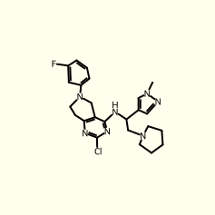 Cn1cc(C(CN2CCCCC2)Nc2nc(Cl)nc3c2CN(c2cccc(F)c2)CC3)cn1